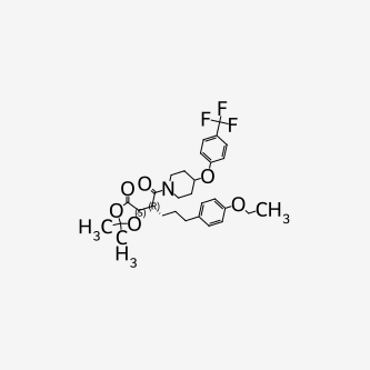 CCOc1ccc(CCC[C@@H](C(=O)N2CCC(Oc3ccc(C(F)(F)F)cc3)CC2)[C@@H]2OC(C)(C)OC2=O)cc1